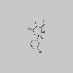 C/N=C1/N[C@](C)(c2cccc(Br)c2)CC(=O)N1C